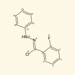 Fc1ccccc1C(Cl)=NNc1ccccc1